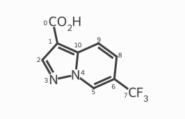 O=C(O)c1cnn2cc(C(F)(F)F)ccc12